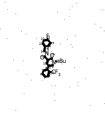 CCCCn1cc(-c2ccccc2C(F)(F)F)cc(C(=O)NCc2ccc(F)cc2)c1=O